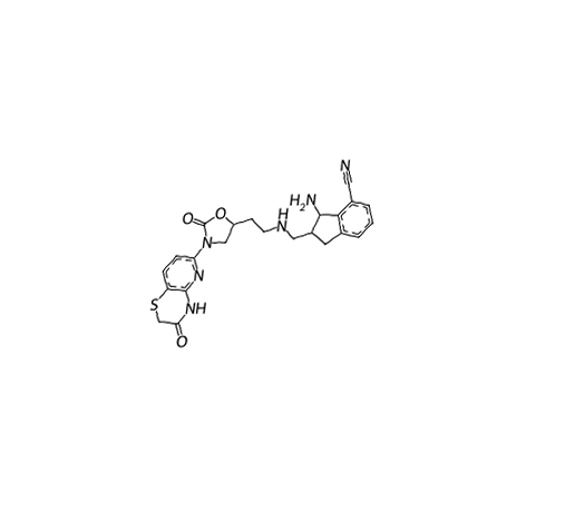 N#Cc1cccc2c1C(N)C(CNCCC1CN(c3ccc4c(n3)NC(=O)CS4)C(=O)O1)C2